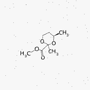 COC(=O)C1(C)OCC[C@@H](C)O1